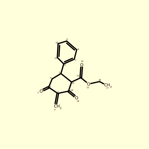 C=C1C(=O)CC(c2ccccc2)C(C(=O)OCC)C1=O